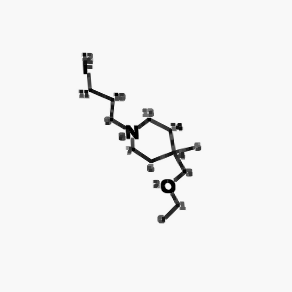 CCOCC1(C)CCN(CCCF)CC1